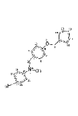 [O-]/[N+](=C\c1ccc(OCc2ccccc2)cc1)c1ccc(F)cc1